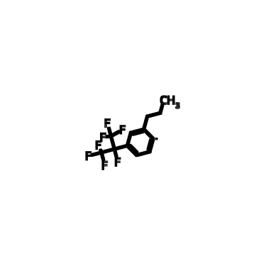 CCCc1[c]ccc(C(F)(C(F)(F)F)C(F)(F)F)c1